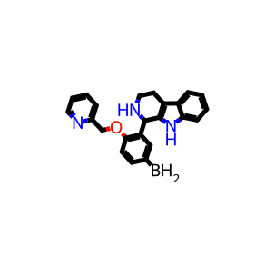 Bc1ccc(OCc2ccccn2)c(C2NCCc3c2[nH]c2ccccc32)c1